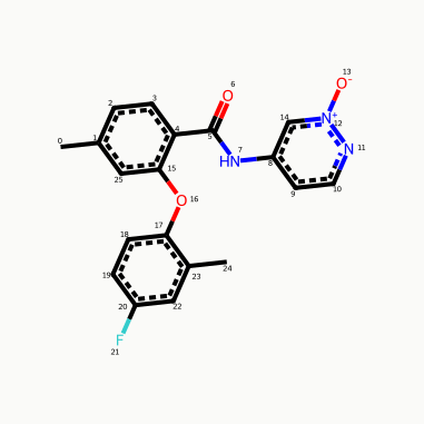 Cc1ccc(C(=O)Nc2ccn[n+]([O-])c2)c(Oc2ccc(F)cc2C)c1